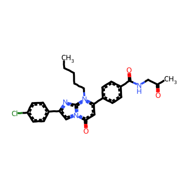 CCCCCn1c(-c2ccc(C(=O)NCC(C)=O)cc2)cc(=O)n2cc(-c3ccc(Cl)cc3)nc12